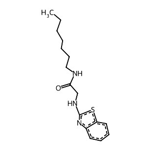 CCCCCCCNC(=O)CNc1nc2ccccc2s1